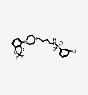 O=S(=O)(NCCCCN1CCN(c2cccc3c2OC(F)(F)O3)CC1)c1cccc(Cl)c1